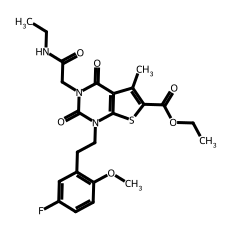 CCNC(=O)Cn1c(=O)c2c(C)c(C(=O)OCC)sc2n(CCc2cc(F)ccc2OC)c1=O